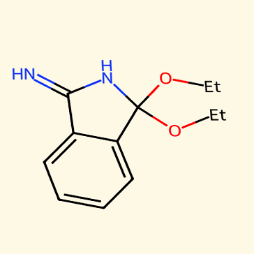 CCOC1(OCC)NC(=N)c2ccccc21